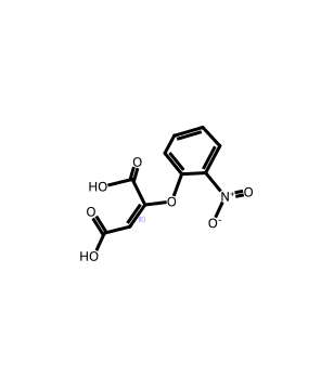 O=C(O)/C=C(/Oc1ccccc1[N+](=O)[O-])C(=O)O